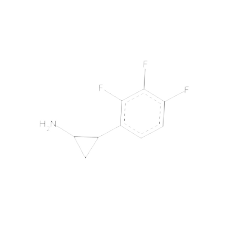 NC1CC1c1ccc(F)c(F)c1F